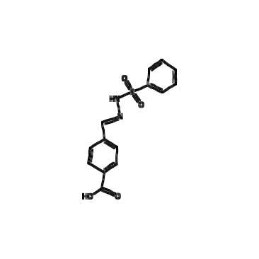 O=C(O)c1ccc(/C=N/NS(=O)(=O)c2ccccc2)cc1